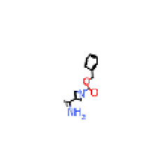 C[C@H](N)C1CN(C(=O)OCc2ccccc2)C1